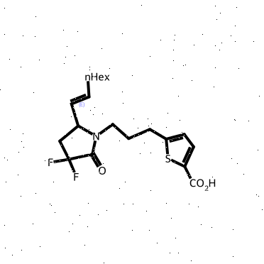 CCCCCC/C=C/C1CC(F)(F)C(=O)N1CCCc1ccc(C(=O)O)s1